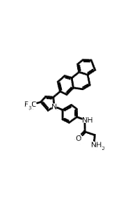 NCC(=O)Nc1ccc(-n2cc(C(F)(F)F)cc2-c2ccc3c(ccc4ccccc43)c2)cc1